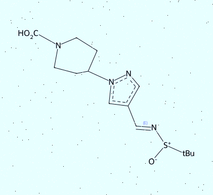 CC(C)(C)[S+]([O-])/N=C/c1cnn(C2CCN(C(=O)O)CC2)c1